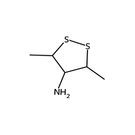 CC1SSC(C)C1N